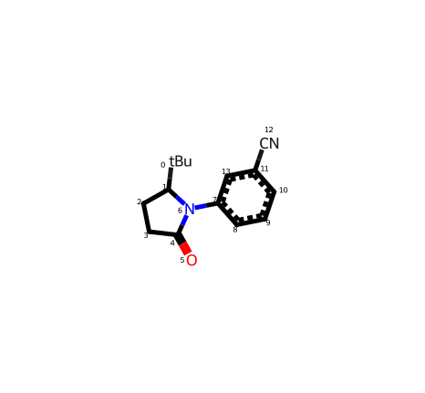 CC(C)(C)C1CCC(=O)N1c1cccc(C#N)c1